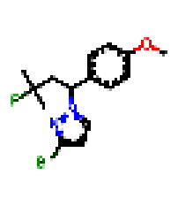 COc1ccc(C(CC(C)(C)F)n2ccc(Br)n2)cc1